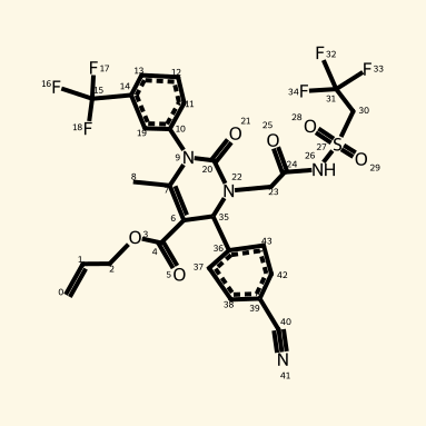 C=CCOC(=O)C1=C(C)N(c2cccc(C(F)(F)F)c2)C(=O)N(CC(=O)NS(=O)(=O)CC(F)(F)F)C1c1ccc(C#N)cc1